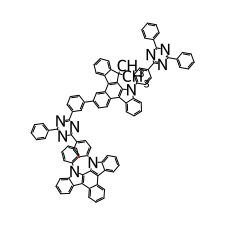 CC1(C)c2ccccc2-c2c1c1c(c3ccc(-c4cccc(-c5nc(-c6ccccc6)nc(-c6ccc(-n7c8ccccc8c8c9ccccc9c9c%10ccccc%10n(-c%10ccccc%10)c9c87)cc6)n5)c4)cc23)c2ccccc2n1-c1ccc(-c2nc(-c3ccccc3)nc(-c3ccccc3)n2)cc1